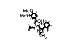 COc1ccc(C(O)CN(CC2CC2)C(=O)c2nc(N)sc2-c2ccccc2F)cc1OC